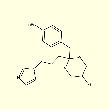 CCCc1ccc(CC2(CCCn3ccnc3)SCC(CC)CS2)cc1